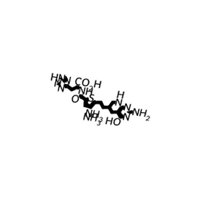 N.N.Nc1nc(O)c2c(n1)NCC(CCc1ccc(C(=O)NC(Cc3nn[nH]n3)C(=O)O)s1)C2